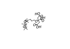 C[Si](C)(C)O[Si](C)(C)O[Si](C)(C)CCCOC(CC(=O)O)(CC(=O)O)C(=O)O